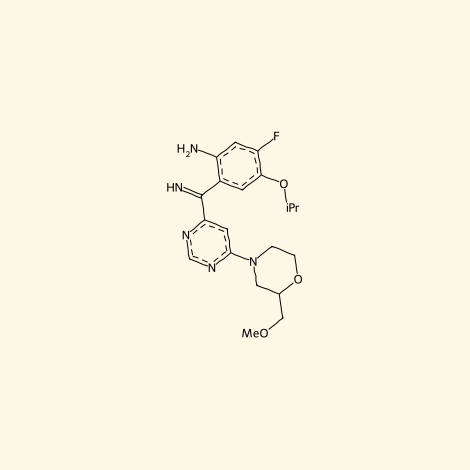 COCC1CN(c2cc(C(=N)c3cc(OC(C)C)c(F)cc3N)ncn2)CCO1